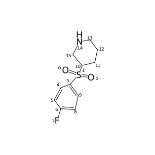 O=S(=O)(c1ccc(F)cc1)C1CCCNC1